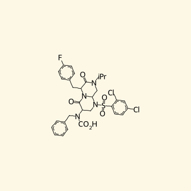 CC(C)N1CC2N(C(=O)C(N(Cc3ccccc3)C(=O)O)CN2S(=O)(=O)c2ccc(Cl)cc2Cl)C(Cc2ccc(F)cc2)C1=O